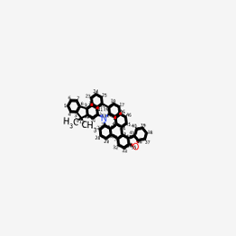 CC1(C)c2ccccc2-c2ccc(N(c3ccccc3-c3ccccc3)c3cccc4c5ccc6oc7ccccc7c6c5c5ccccc5c34)cc21